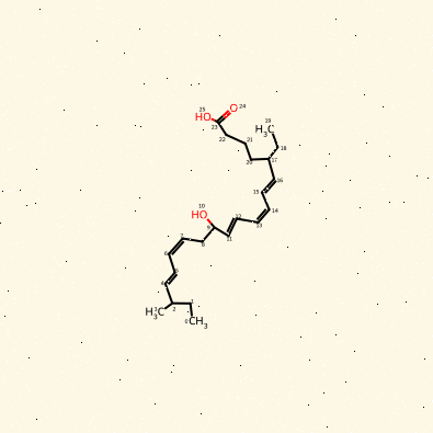 CCC(C)/C=C/C=C\CC(O)/C=C/C=C\C=C\C(CC)CCCC(=O)O